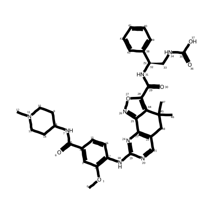 COc1cc(C(=O)NC2CCN(C)CC2)ccc1Nc1ncc2c(n1)-c1noc(C(=O)N[C@H](CNC(=O)O)c3ccccc3)c1C(C)(C)C2